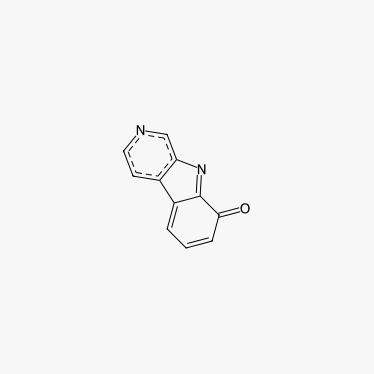 O=C1C=CC=C2C1=Nc1cnccc12